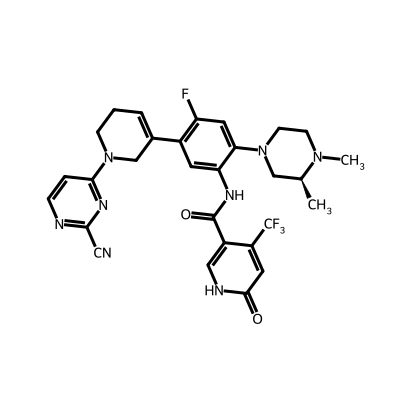 C[C@H]1CN(c2cc(F)c(C3=CCCN(c4ccnc(C#N)n4)C3)cc2NC(=O)c2c[nH]c(=O)cc2C(F)(F)F)CCN1C